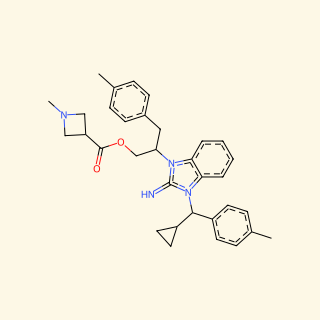 Cc1ccc(CC(COC(=O)C2CN(C)C2)n2c(=N)n(C(c3ccc(C)cc3)C3CC3)c3ccccc32)cc1